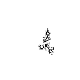 CC(C)(NC(=O)c1ccc(F)cc1)C(=O)Nc1nc(-c2ccccc2Cl)n(Cc2ccccc2)n1